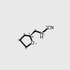 N#CNC[C@@H]1CCCO1